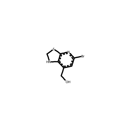 OCc1cc(Br)nc2c1NCS2